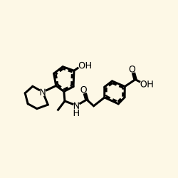 CC(NC(=O)Cc1ccc(C(=O)O)cc1)c1cc(O)ccc1N1CCCCC1